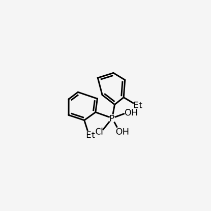 CCc1ccccc1P(O)(O)(Cl)c1ccccc1CC